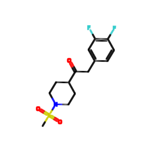 CS(=O)(=O)N1CCC(C(=O)Cc2ccc(F)c(F)c2)CC1